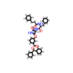 C[C@@]1(NC(=O)[C@H](Cc2ccccc2)NC(=O)CCc2ccccc2)C(=O)N[C@H]1Oc1cccc(C(=O)OC(c2ccccc2)c2ccccc2)c1